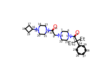 CCC(CC)(C(=O)N1CCN(CC(=O)N2CCN(C3CCC3)CC2)CC1)c1ccccc1